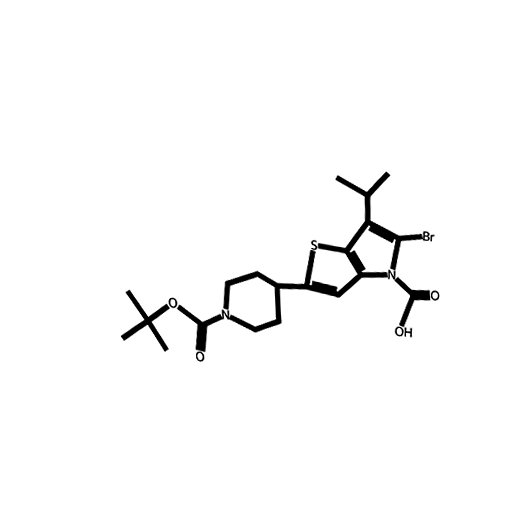 CC(C)c1c(Br)n(C(=O)O)c2cc(C3CCN(C(=O)OC(C)(C)C)CC3)sc12